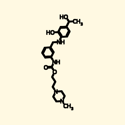 CC(O)c1ccc(NCc2cccc(NC(=O)OCCCN3CCN(C)CC3)c2)c(O)c1